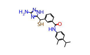 Cc1cc(NC(=O)c2cccc(C(S)c3nc(N)n[nH]3)c2)ccc1C(C)C